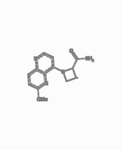 COc1ccc2nccc(N3C[CH]C3C(N)=O)c2n1